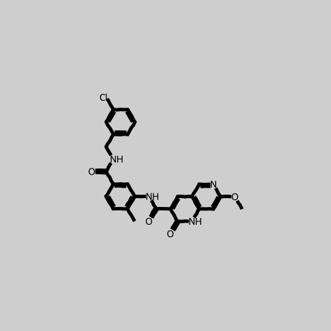 COc1cc2[nH]c(=O)c(C(=O)Nc3cc(C(=O)NCc4cccc(Cl)c4)ccc3C)cc2cn1